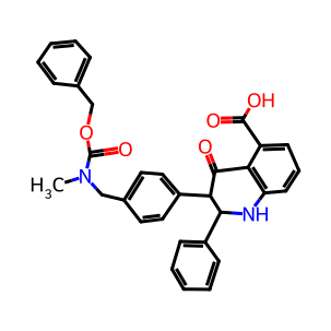 CN(Cc1ccc(C2C(=O)c3c(cccc3C(=O)O)NC2c2ccccc2)cc1)C(=O)OCc1ccccc1